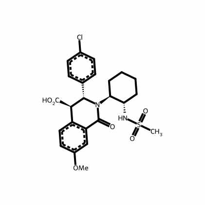 COc1ccc2c(c1)C(=O)N([C@H]1CCCC[C@@H]1NS(C)(=O)=O)[C@@H](c1ccc(Cl)cc1)[C@@H]2C(=O)O